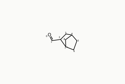 O=CC1CC2CC[C]1C2